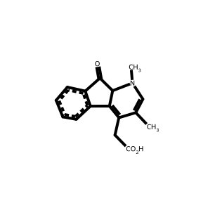 CC1=CN(C)C2C(=O)c3ccccc3C2=C1CC(=O)O